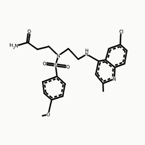 COc1ccc(S(=O)(=O)N(CCNc2cc(C)nc3ccc(Cl)cc23)CCC(N)=O)cc1